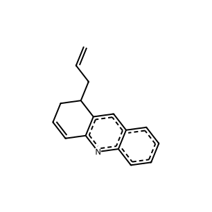 C=CCC1CC=Cc2nc3ccccc3cc21